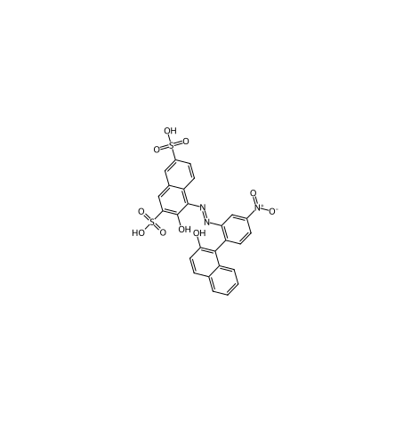 O=[N+]([O-])c1ccc(-c2c(O)ccc3ccccc23)c(N=Nc2c(O)c(S(=O)(=O)O)cc3cc(S(=O)(=O)O)ccc23)c1